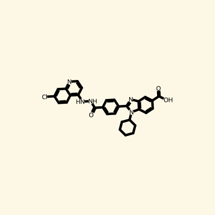 O=C(O)c1ccc2c(c1)nc(-c1ccc(C(=O)NNc3ccnc4cc(Cl)ccc34)cc1)n2C1CCCCC1